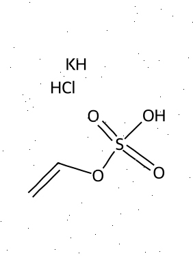 C=COS(=O)(=O)O.Cl.[KH]